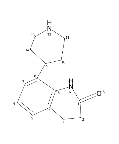 O=C1CCc2cccc(C3CCNCC3)c2N1